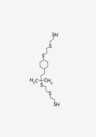 CC(C)(CCC1CCC(SCCSCCS)CC1)SCCSCCS